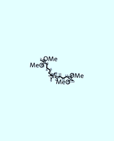 CO[Si](C)(CCC[S][Sn]([CH3])([CH3])[S]CCC[Si](C)(OC)OC)OC